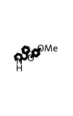 COc1ccc(OC(CC2CCCCN2)c2ccccc2)cc1